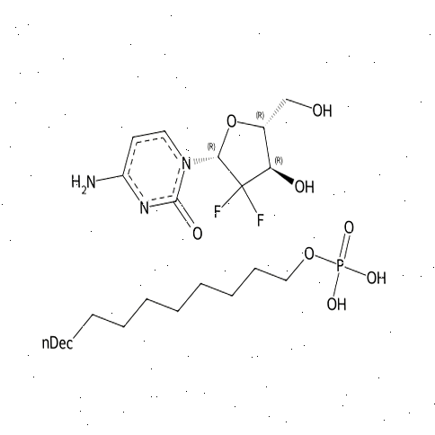 CCCCCCCCCCCCCCCCCCOP(=O)(O)O.Nc1ccn([C@@H]2O[C@H](CO)[C@@H](O)C2(F)F)c(=O)n1